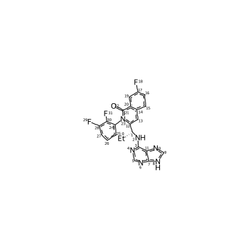 CC[C@@H](Nc1ncnc2[nH]cnc12)c1cc2ccc(F)cc2c(=O)n1-c1cccc(F)c1F